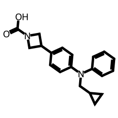 O=C(O)N1CC(c2ccc(N(CC3CC3)c3ccccc3)cc2)C1